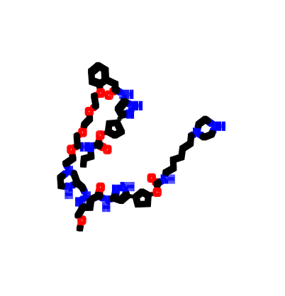 CCCNC(=O)O[C@H]1CC[C@@H](c2cc(NC(=O)Cc3ccccc3OCCOCCOCCOCCN3CCNC(Cn4nc(COC)cc4C(=O)Nc4cc([C@H]5CC[C@@H](OC(=O)NCCCCCCCN6CCNCC6)C5)[nH]n4)C3)[nH]n2)C1